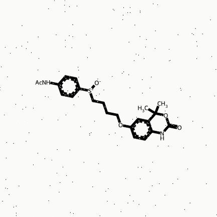 CC(=O)Nc1ccc([S+]([O-])CCCCOc2ccc3c(c2)C(C)(C)OC(=O)N3)cc1